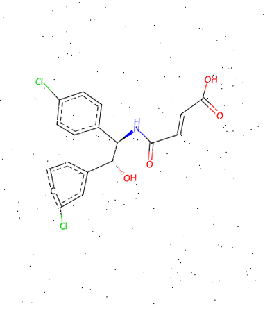 O=C(O)/C=C/C(=O)N[C@H](c1ccc(Cl)cc1)[C@H](O)c1cccc(Cl)c1